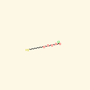 O=C(Cl)COCCOCCOCCOCCCCCCCCCCCS